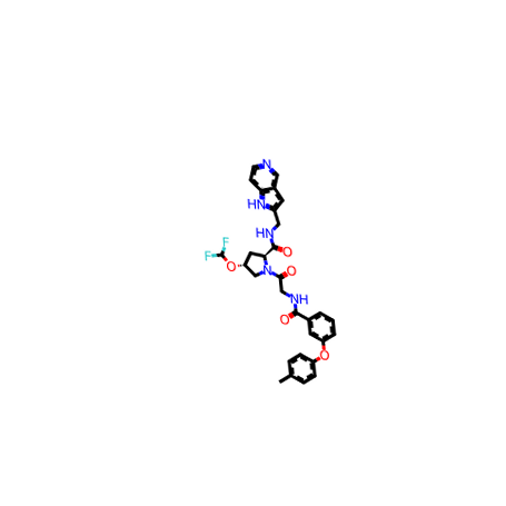 Cc1ccc(Oc2cccc(C(=O)NCC(=O)N3C[C@H](OC(F)F)C[C@H]3C(=O)NCc3cc4cnccc4[nH]3)c2)cc1